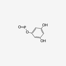 O=POc1cc(O)cc(O)c1